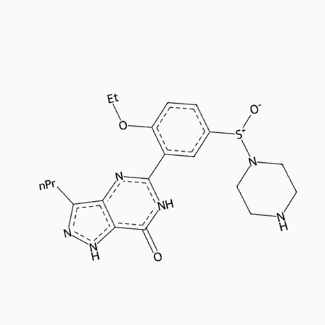 CCCc1n[nH]c2c(=O)[nH]c(-c3cc([S+]([O-])N4CCNCC4)ccc3OCC)nc12